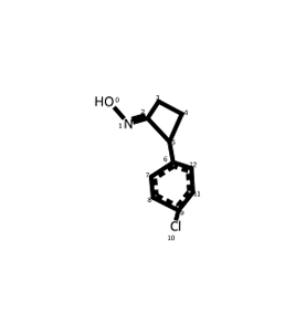 O/N=C1\CCC1c1ccc(Cl)cc1